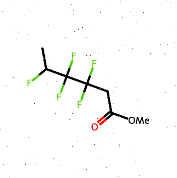 COC(=O)CC(F)(F)C(F)(F)C(C)F